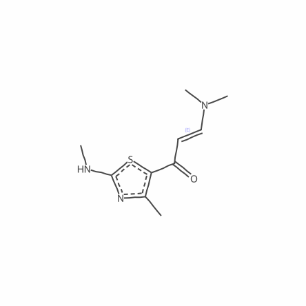 CNc1nc(C)c(C(=O)/C=C/N(C)C)s1